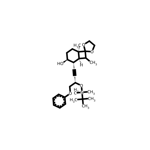 CC1[C@H]2[C@H](C#C[C@@H](COc3ccccc3)O[Si](C)(C)C(C)(C)C)[C@@H](O)CC[C@@]2(C)C12OCCO2